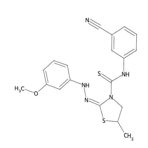 COc1cccc(N/N=C2/SC(C)CN2C(=S)Nc2cccc(C#N)c2)c1